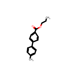 CCCOC(=O)c1ccc(-c2ccc(C)cc2)cc1